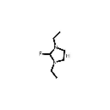 CCN1CCN(CC)C1F.I